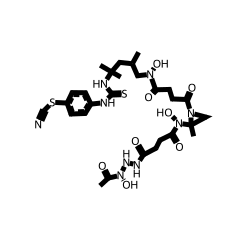 CC(=O)N(O)NNC(=O)CCC(=O)N(O)C1(C)CN1C(=O)CCC(=O)N(O)CC(C)CC(C)(C)NC(=S)Nc1ccc(SC#N)cc1